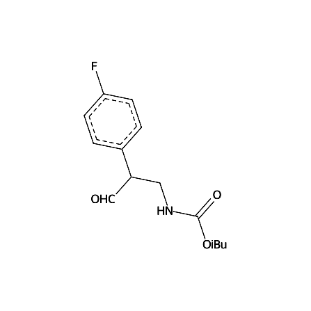 CC(C)COC(=O)NCC(C=O)c1ccc(F)cc1